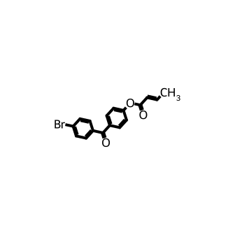 CC=CC(=O)Oc1ccc(C(=O)c2ccc(Br)cc2)cc1